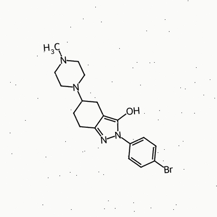 CN1CCN(C2CCc3nn(-c4ccc(Br)cc4)c(O)c3C2)CC1